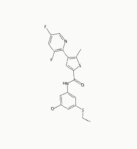 CCSc1cc(Cl)cc(NC(=O)c2cc(-c3ncc(F)cc3F)c(C)s2)c1